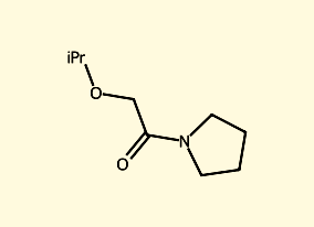 CC(C)OCC(=O)N1CCCC1